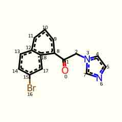 O=C(Cn1ccnc1)c1cccc2ccc(Br)cc12